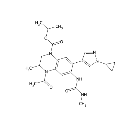 CNC(=O)Nc1cc2c(cc1-c1cnn(C3CC3)c1)N(C(=O)OC(C)C)CC(C)N2C(C)=O